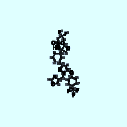 O=S(=O)(CC(F)(F)F)NC1(c2cccc(-c3cc(Oc4ccc(C(F)(F)F)cc4)n(Cc4cocn4)n3)c2)COC1